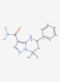 CN(C)C(=O)c1cnn2c1NC(c1ccccc1)CC2(C)C